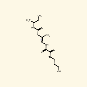 CCC(C)NC(=O)C/C(C)=N/NC(=O)C(=O)NCCCO